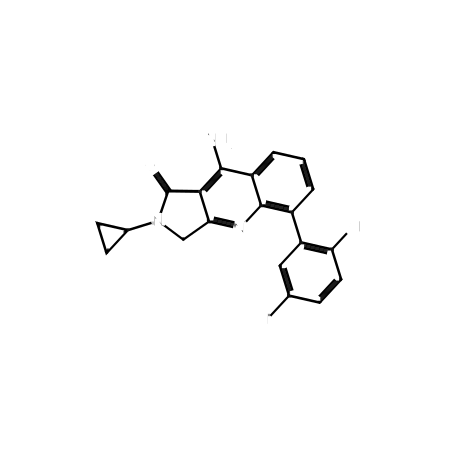 Nc1c2c(nc3c(-c4cc(Cl)ccc4Cl)cccc13)CN(C1CC1)C2=O